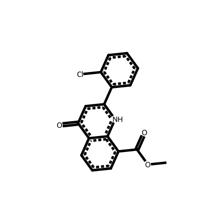 COC(=O)c1cccc2c(=O)cc(-c3ccccc3Cl)[nH]c12